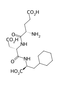 N[C@@H](CCC(=O)O)C(=O)N[C@@H](CC(=O)O)C(=O)N[C@@H](CC1CCCCC1)C(=O)O